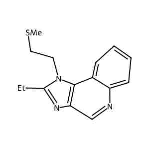 CCc1nc2cnc3ccccc3c2n1CCSC